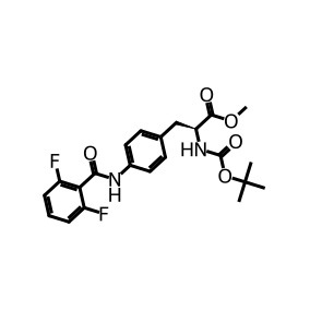 COC(=O)[C@H](Cc1ccc(NC(=O)c2c(F)cccc2F)cc1)NC(=O)OC(C)(C)C